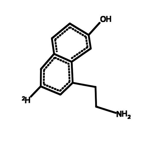 [2H]c1cc(CCN)c2cc(O)ccc2c1